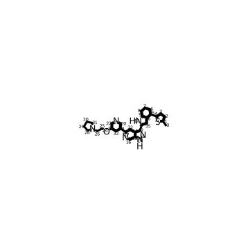 Cc1ccc(-c2cccc3[nH]c(-c4n[nH]c5cnc(-c6cncc(OCCN7CCCC7)c6)cc45)cc23)s1